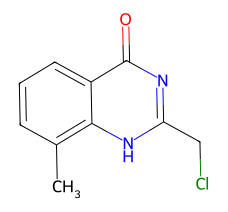 Cc1cccc2c(=O)nc(CCl)[nH]c12